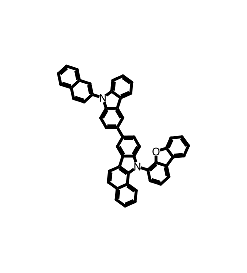 c1ccc2cc(-n3c4ccccc4c4cc(-c5ccc6c(c5)c5ccc7ccccc7c5n6-c5cccc6c5oc5ccccc56)ccc43)ccc2c1